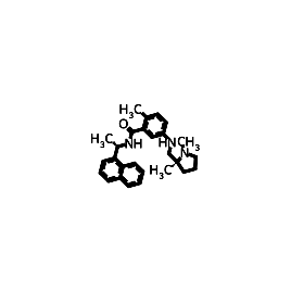 Cc1ccc(NC[C@]2(C)CCCN2C)cc1C(=O)N[C@H](C)c1cccc2ccccc12